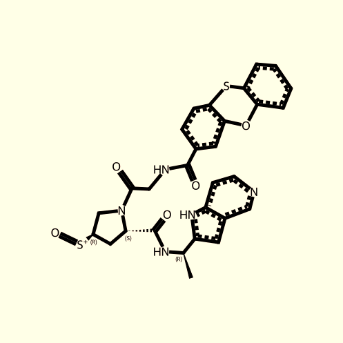 C[C@@H](NC(=O)[C@@H]1C[C@@H]([S+]=O)CN1C(=O)CNC(=O)c1ccc2c(c1)Oc1ccccc1S2)c1cc2cnccc2[nH]1